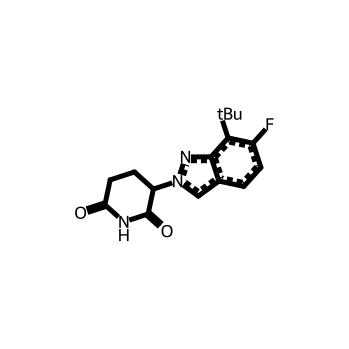 CC(C)(C)c1c(F)ccc2cn(C3CCC(=O)NC3=O)nc12